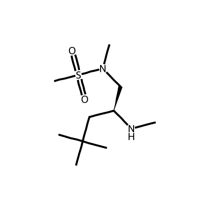 CN[C@H](CN(C)S(C)(=O)=O)CC(C)(C)C